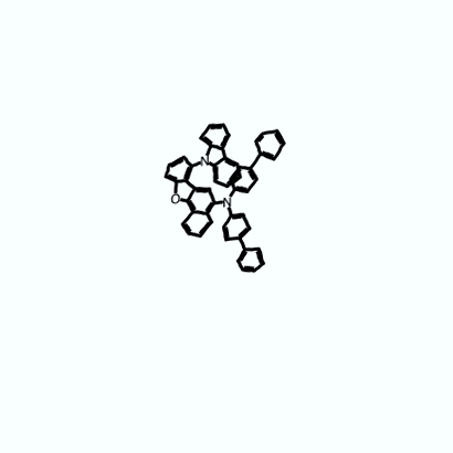 c1ccc(-c2ccc(N(c3ccc(-c4ccccc4)cc3)c3cc4c(oc5cccc(-n6c7ccccc7c7ccccc76)c54)c4ccccc34)cc2)cc1